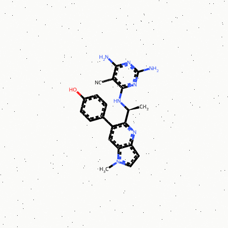 C[C@H](Nc1nc(N)nc(N)c1C#N)c1nc2ccn(C)c2cc1-c1ccc(O)cc1